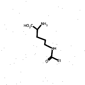 CCC(=O)NCCCC(N)C(=O)O